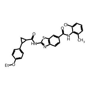 CCOc1ccc(C2CC2C(=O)Nc2nc3ccc(C(=O)Nc4c(C)cccc4Cl)cc3s2)cc1